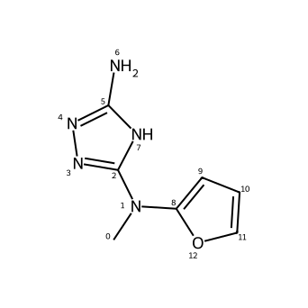 CN(c1nnc(N)[nH]1)c1ccco1